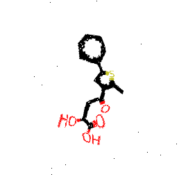 Cc1sc(-c2ccccc2)cc1C(=O)/C=C(/O)C(=O)O